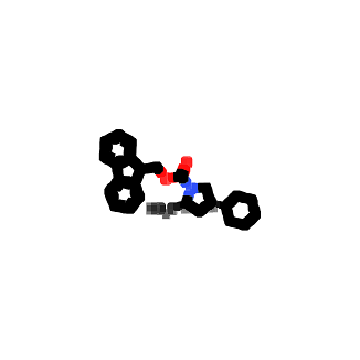 O=C(O)[C@@H]1C[C@@H](C2CCCCC2)CN1C(=O)OCC1c2ccccc2-c2ccccc21